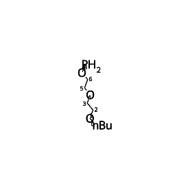 CCCCOCCOCCOP